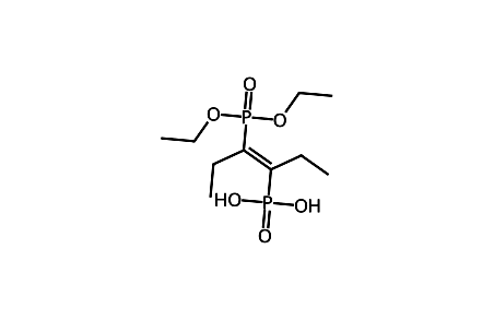 CCOP(=O)(OCC)C(CC)=C(CC)P(=O)(O)O